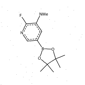 CNc1cc(B2OC(C)(C)C(C)(C)O2)cnc1F